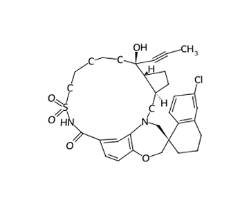 CC#C[C@@]1(O)CCCCCS(=O)(=O)NC(=O)c2ccc3c(c2)N(C[C@@H]2CC[C@H]21)C[C@@]1(CCCc2cc(Cl)ccc21)CO3